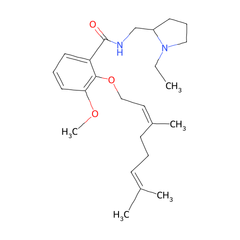 CCN1CCCC1CNC(=O)c1cccc(OC)c1OCC=C(C)CCC=C(C)C